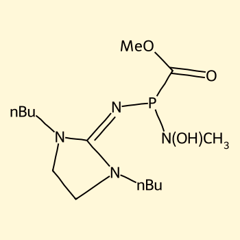 CCCCN1CCN(CCCC)C1=NP(C(=O)OC)N(C)O